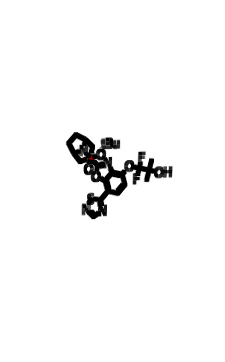 CC(C)(C)OC(=O)N1C2CCC1CN(c1nc3c(OC(F)(F)C(C)(C)O)ccc(-c4ncns4)c3o1)C2